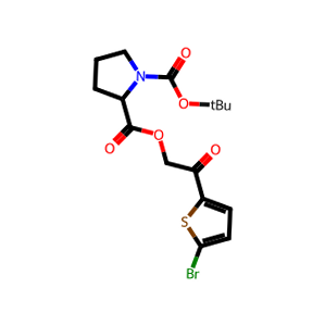 CC(C)(C)OC(=O)N1CCCC1C(=O)OCC(=O)c1ccc(Br)s1